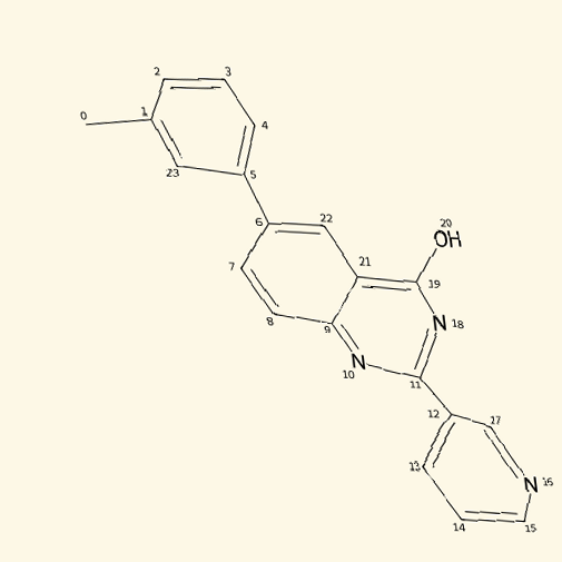 Cc1cccc(-c2ccc3nc(-c4cccnc4)nc(O)c3c2)c1